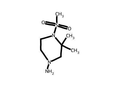 CC1(C)CN(N)CCN1S(C)(=O)=O